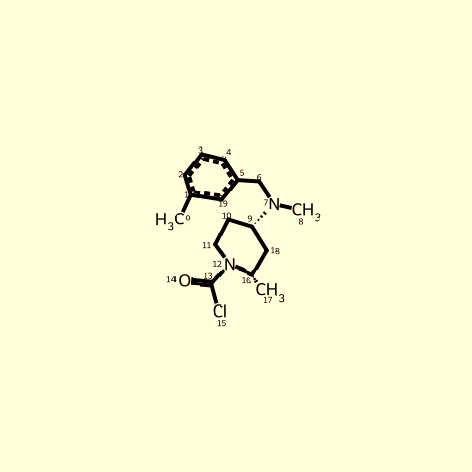 Cc1cccc(CN(C)[C@H]2CCN(C(=O)Cl)[C@@H](C)C2)c1